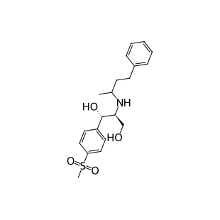 CC(CCc1ccccc1)N[C@@H](CO)[C@@H](O)c1ccc(S(C)(=O)=O)cc1